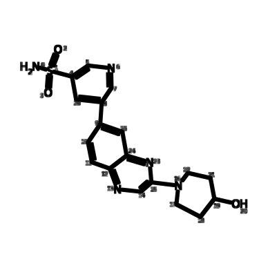 NS(=O)(=O)c1cncc(-c2ccc3ncc(N4CCC(O)CC4)nc3c2)c1